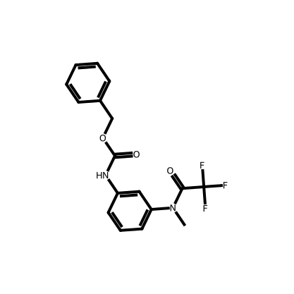 CN(C(=O)C(F)(F)F)c1cccc(NC(=O)OCc2ccccc2)c1